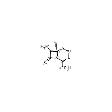 NC1C(=O)N2C(C(=O)O)CSS[C@@H]12